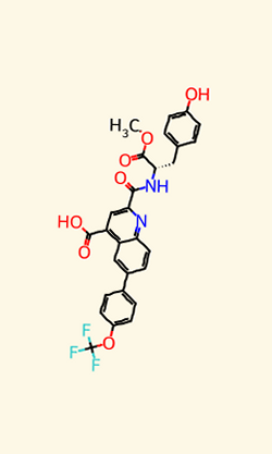 COC(=O)[C@H](Cc1ccc(O)cc1)NC(=O)c1cc(C(=O)O)c2cc(-c3ccc(OC(F)(F)F)cc3)ccc2n1